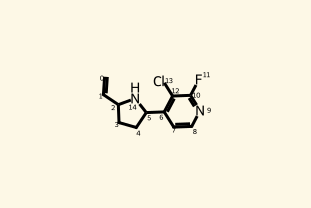 C=CC1CCC(c2ccnc(F)c2Cl)N1